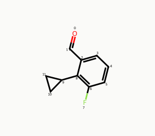 O=[C]c1cccc(F)c1C1CC1